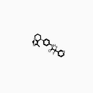 Cc1ncn2c1[C@H](c1ccc(NC(=O)C(F)(F)c3cccnc3)cc1)CCC2